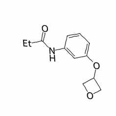 CCC(=O)Nc1cccc(OC2COC2)c1